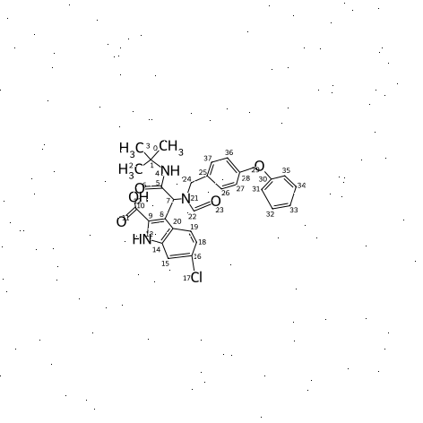 CC(C)(C)NC(=O)C(c1c(C(=O)O)[nH]c2cc(Cl)ccc12)N(C=O)Cc1ccc(Oc2ccccc2)cc1